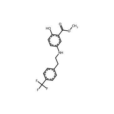 COC(=O)c1cc(NCCc2ccc(C(F)(F)F)cc2)ccc1O